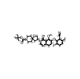 COc1c(Oc2c(F)ccc(F)c2C#N)ccc2ncn([C@H]3COC4(CCN(C(=O)OC(C)(C)C)CC4)C3)c(=O)c12